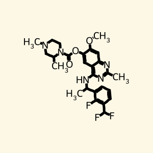 COc1cc2nc(C)nc(NC(C)c3cccc(C(F)F)c3F)c2cc1OC(=O)N1CCN(C)CC1C